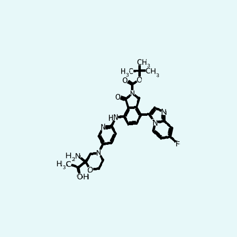 CC(O)C1(N)CN(c2ccc(Nc3ccc(-c4cnc5cc(F)ccn45)c4c3C(=O)N(C(=O)OC(C)(C)C)C4)nc2)CCO1